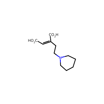 O=C(O)C=C(CCN1CCCCC1)C(=O)O